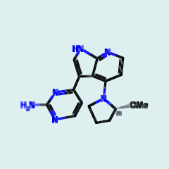 CO[C@@H]1CCCN1c1ccnc2[nH]cc(-c3ccnc(N)n3)c12